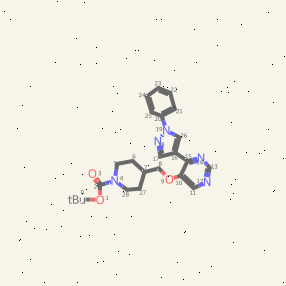 CC(C)(C)OC(=O)N1CCC(COc2cncnc2-c2cnn(-c3ccccc3)c2)CC1